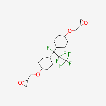 FC(F)(F)C(F)(F)C(F)(C1CCC(OCC2CO2)CC1)C1CCC(OCC2CO2)CC1